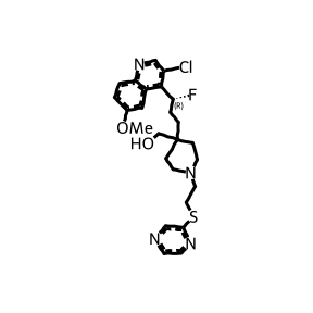 COc1ccc2ncc(Cl)c([C@H](F)CCC3(CO)CCN(CCSc4cnccn4)CC3)c2c1